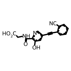 N#Cc1ccccc1C#Cc1cnc(C(=O)NCC(=O)O)c(O)c1